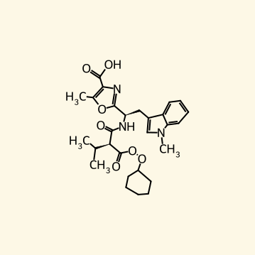 Cc1oc([C@@H](Cc2cn(C)c3ccccc23)NC(=O)[C@@H](C(=O)OOC2CCCCC2)C(C)C)nc1C(=O)O